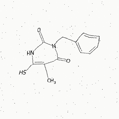 Cc1c(S)[nH]c(=O)n(Cc2ccccc2)c1=O